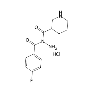 Cl.NN(C(=O)c1ccc(F)cc1)C(=O)C1CCCNC1